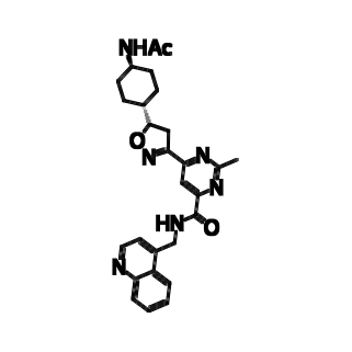 CC(=O)N[C@H]1CC[C@H](C2CC(c3cc(C(=O)NCc4ccnc5ccccc45)nc(C)n3)=NO2)CC1